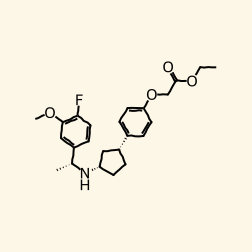 CCOC(=O)COc1ccc([C@@H]2CC[C@H](N[C@H](C)c3ccc(F)c(OC)c3)C2)cc1